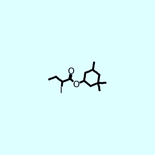 CCC(I)C(=O)OC1CC(C)CC(C)(C)C1